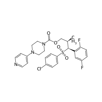 C[C@H](COC(=O)N1CCN(c2ccncc2)CC1)[C@@H](c1cc(F)ccc1F)S(=O)(=O)c1ccc(Cl)cc1